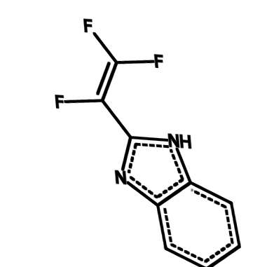 FC(F)=C(F)c1nc2ccccc2[nH]1